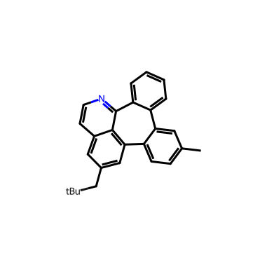 Cc1ccc2c(c1)-c1ccccc1-c1nccc3cc(CC(C)(C)C)cc-2c13